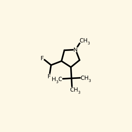 CN1CC(C(F)F)C(C(C)(C)C)C1